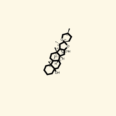 C[C@H]1CC[C@@]2(OC1)O[C@H]1C[C@H]3[C@@H]4CCC5(O)CCCC[C@]5(C)[C@H]4CC[C@]3(C)[C@H]1[C@@H]2C